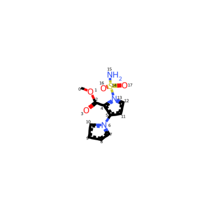 COC(=O)c1c(-n2cccc2)ccn1S(N)(=O)=O